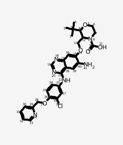 CC(C)(C)C1OCCN(C(=O)O)C1COc1cc2ncnc(Nc3ccc(OCc4ccccn4)c(Cl)c3)c2cc1N